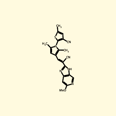 COc1cc2nc(C(C#N)=Cc3cc(C)n(-c4sc(C)cc4C#N)c3C)[nH]c2cn1